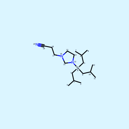 CC(C)C[Si](CC(C)C)(CC(C)C)N1CCN(CCC#N)C1